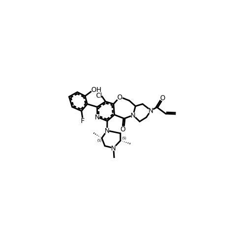 C=CC(=O)N1CCN2C(=O)c3c(N4C[C@H](C)N(C)C[C@@H]4C)nc(-c4c(O)cccc4F)c(Cl)c3OCC2C1